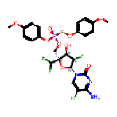 COc1ccc(OSP(=O)(OC[C@@]2(C(F)F)O[C@@H](n3cc(Cl)c(N)nc3=O)[C@H](F)[C@@H]2O)Oc2ccc(OC)cc2)cc1